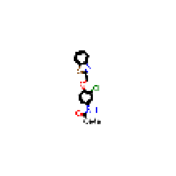 COC(=O)Nc1ccc(OCc2nc3ccccc3s2)c(Cl)c1